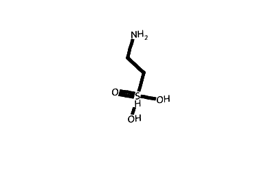 NCC[SH](=O)(O)O